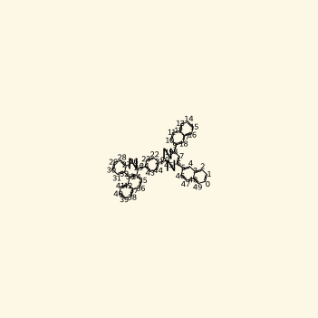 c1ccc2cc(-c3cc(-c4ccc5ccccc5c4)nc(-c4ccc(-c5nc6ccccc6c6c5ccc5ccccc56)cc4)n3)ccc2c1